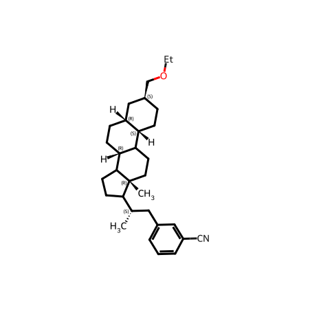 CCOC[C@H]1CC[C@@H]2C3CC[C@@]4(C)C(CCC4[C@@H](C)Cc4cccc(C#N)c4)[C@@H]3CC[C@@H]2C1